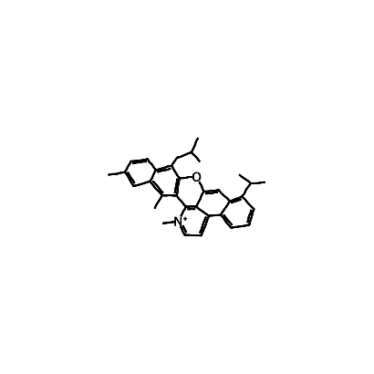 Cc1ccc2c(CC(C)C)c3c(c(C)c2c1)-c1c2c(cc4c(C(C)C)cccc4c2cc[n+]1C)O3